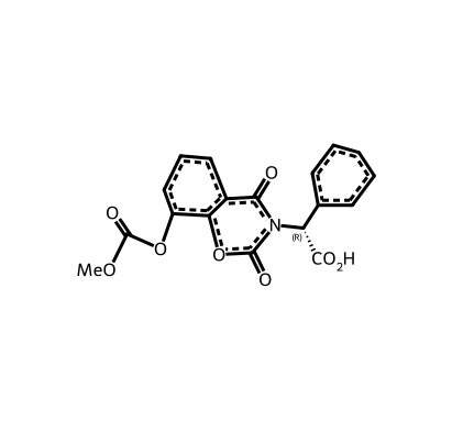 COC(=O)Oc1cccc2c(=O)n([C@@H](C(=O)O)c3ccccc3)c(=O)oc12